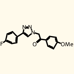 COc1ccc(C(=O)Cn2cc(-c3ccc(F)cc3)nn2)cc1